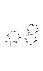 CC1(C)OC[CH]C(c2cccc3ccccc23)O1